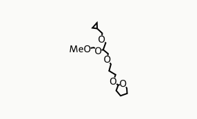 COCOC(COCCCOC1CCCCO1)COCC1CC1